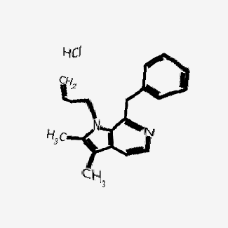 C=CCn1c(C)c(C)c2ccnc(Cc3ccccc3)c21.Cl